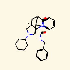 O=C1N[C@@]2(C(=O)NCc3ccccc3)[C@H]3C[C@@H]1[C@@H](c1ccccc1)[C@@H]2N(C1CCCCC1)C3